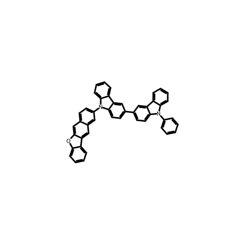 c1ccc(-n2c3ccccc3c3cc(-c4ccc5c(c4)c4ccccc4n5-c4ccc5cc6oc7ccccc7c6cc5c4)ccc32)cc1